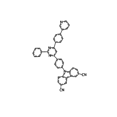 N#Cc1ccc2c(c1)c1cc(C#N)ccc1n2-c1ccc(-c2cc(-c3ccc(-c4cccnc4)cc3)nc(-c3ccccc3)n2)cc1